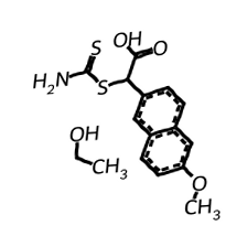 CCO.COc1ccc2cc(C(SC(N)=S)C(=O)O)ccc2c1